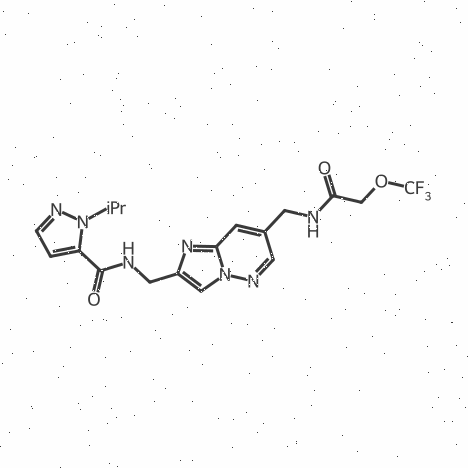 CC(C)n1nccc1C(=O)NCc1cn2ncc(CNC(=O)COC(F)(F)F)cc2n1